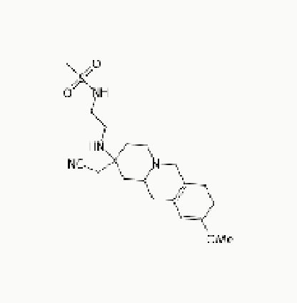 COC1=CC2=C(CC1)CN1CCC(CC#N)(NCCNS(C)(=O)=O)CC1C2